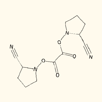 N#CC1CCCN1OC(=O)C(=O)ON1CCCC1C#N